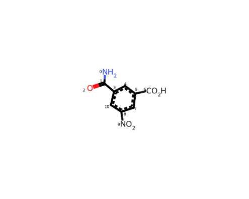 NC(=O)c1cc(C(=O)O)cc([N+](=O)[O-])c1